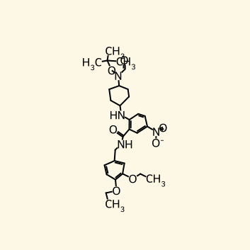 CCOc1ccc(CNC(=O)c2cc([N+](=O)[O-])ccc2NC2CCC(N(C=O)OC(C)(C)C)CC2)cc1OCC